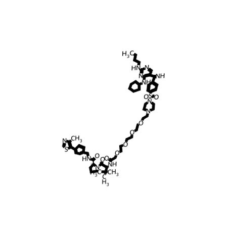 CCCCNc1ncc(C(=N)c2ccc(S(=O)(=O)N3CCN(CCOCCOCCOCCOCC(=O)NC(C(=O)N4CCC[C@H]4C(=O)NCc4ccc(-c5scnc5C)cc4)C(C)(C)C)CC3)cc2)c(NC2CCCCC2)n1